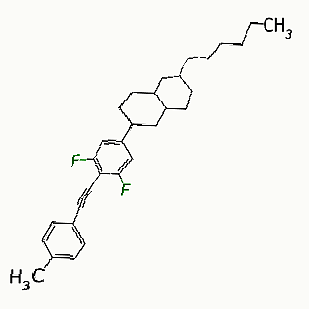 CCCCCCC1CCC2CC(c3cc(F)c(C#Cc4ccc(C)cc4)c(F)c3)CCC2C1